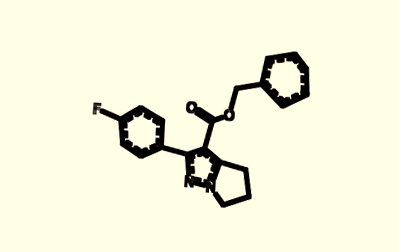 O=C(OCc1ccccc1)c1c(-c2ccc(F)cc2)nn2c1CCC2